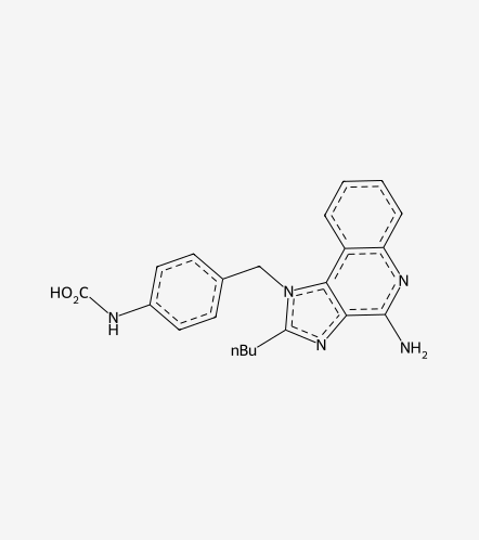 CCCCc1nc2c(N)nc3ccccc3c2n1Cc1ccc(NC(=O)O)cc1